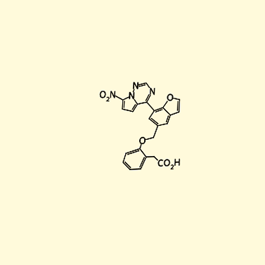 O=C(O)Cc1ccccc1OCc1cc(-c2ncnn3c([N+](=O)[O-])ccc23)c2occc2c1